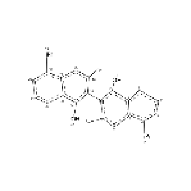 Cc1cc2c(C(C)C)cccc2c(O)c1-c1c(C)cc2c(C(C)C)cccc2c1O